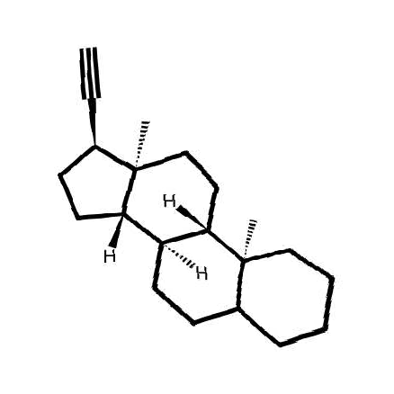 C#C[C@@H]1CC[C@H]2[C@@H]3CCC4CCCC[C@]4(C)[C@H]3CC[C@]12C